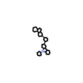 c1ccc(-n2c3ccccc3c3cc(-c4cccc(-c5ccc6c(ccc7ccccc76)c5)c4)ccc32)cc1